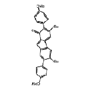 COc1ccc(C2=C(C(C)(C)C)C=C3C(=Cc4cc(-c5ccc(OC)cc5)c(C(C)(C)C)cc43)C2=O)cc1